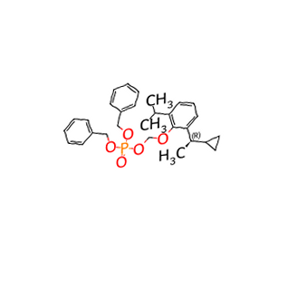 CC(C)c1cccc([C@H](C)C2CC2)c1OCOP(=O)(OCc1ccccc1)OCc1ccccc1